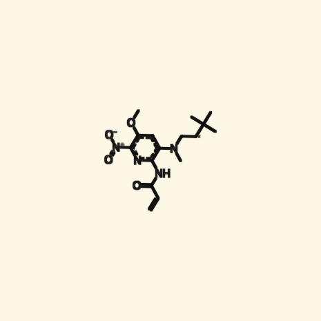 C=CC(=O)Nc1nc([N+](=O)[O-])c(OC)cc1N(C)C[CH]C(C)(C)C